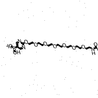 CC(C)(C)OC(=O)NCCOCCOCCOCCOCCOCCOCCOc1ncc(B(O)O)cn1